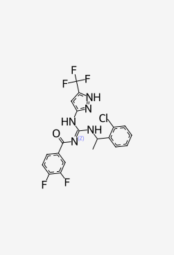 CC(N/C(=N/C(=O)c1ccc(F)c(F)c1)Nc1cc(C(F)(F)F)[nH]n1)c1ccccc1Cl